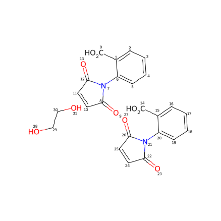 O=C(O)c1ccccc1N1C(=O)C=CC1=O.O=C(O)c1ccccc1N1C(=O)C=CC1=O.OCCO